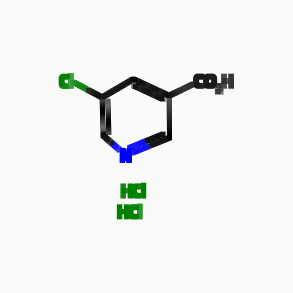 Cl.Cl.O=C(O)c1cncc(Cl)c1